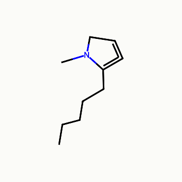 CCCCCC1=C=CCN1C